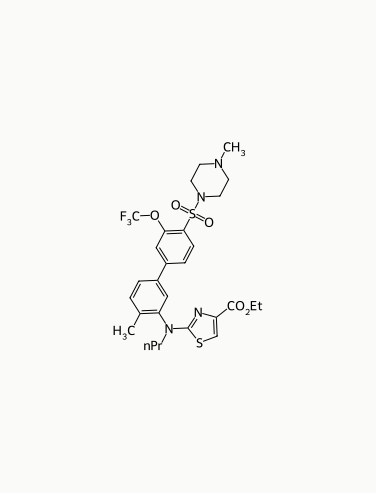 CCCN(c1nc(C(=O)OCC)cs1)c1cc(-c2ccc(S(=O)(=O)N3CCN(C)CC3)c(OC(F)(F)F)c2)ccc1C